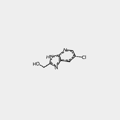 OCc1nc2cc(Cl)cnc2[nH]1